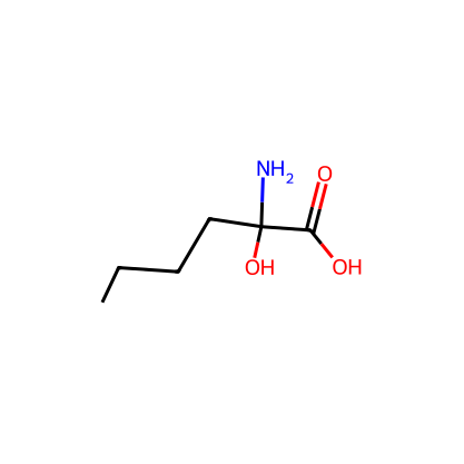 CCCCC(N)(O)C(=O)O